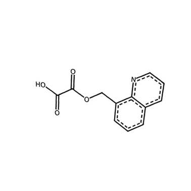 O=C(O)C(=O)OCc1cccc2cccnc12